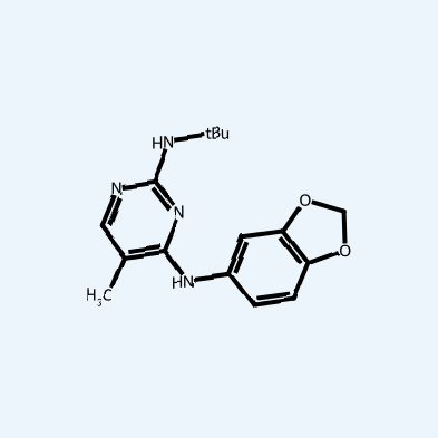 Cc1cnc(NC(C)(C)C)nc1Nc1ccc2c(c1)OCO2